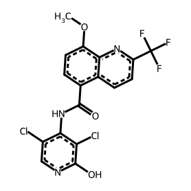 COc1ccc(C(=O)Nc2c(Cl)cnc(O)c2Cl)c2ccc(C(F)(F)F)nc12